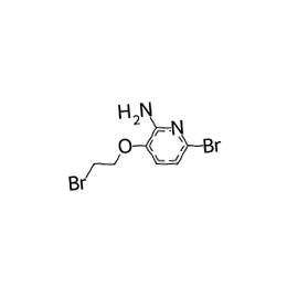 Nc1nc(Br)ccc1OCCBr